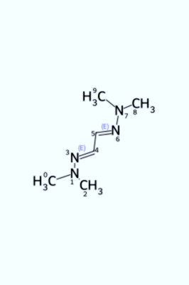 CN(C)/N=C/C=N/N(C)C